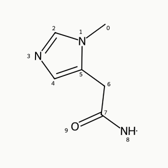 Cn1cncc1CC([NH])=O